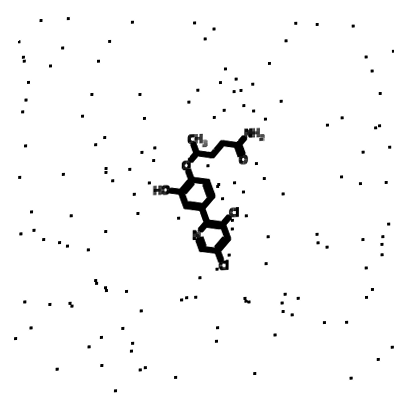 CC(CCC(N)=O)Oc1ccc(-c2ncc(Cl)cc2Cl)cc1O